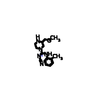 COCC1CN(/C(=N/C#N)Nc2ccccc2C)CCN1